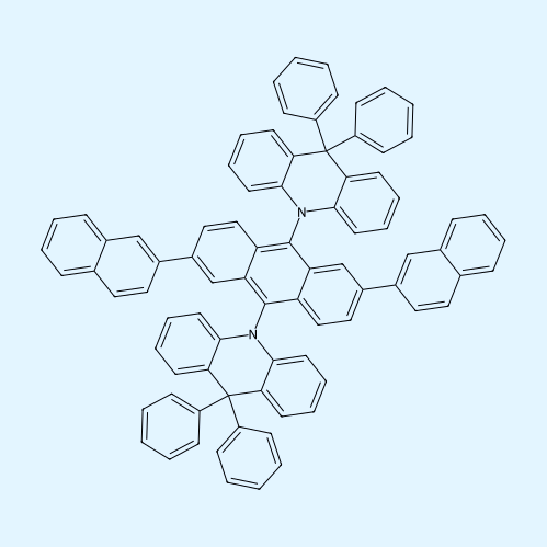 c1ccc(C2(c3ccccc3)c3ccccc3N(c3c4ccc(-c5ccc6ccccc6c5)cc4c(N4c5ccccc5C(c5ccccc5)(c5ccccc5)c5ccccc54)c4ccc(-c5ccc6ccccc6c5)cc34)c3ccccc32)cc1